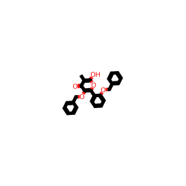 Cc1c(O)oc(-c2ccccc2OCc2ccccc2)c(OCc2ccccc2)c1=O